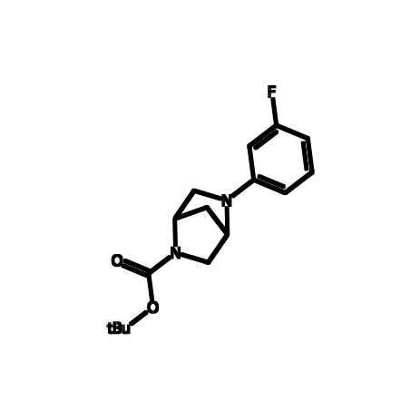 CC(C)(C)OC(=O)N1CC2CC1CN2c1cccc(F)c1